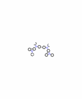 C=CC(=C)N(c1ccc(-c2ccc(N(/C(C)=C/C)c3ccc4c(c3)c3ccccc3n4-c3ccccc3)cc2)cc1)c1ccc2c(c1)c1ccccc1n2C1=CC=CCC1